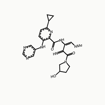 CN/C=C(/NC(=O)c1nc(C2CC2)ccc1Nc1cncnc1)C(=N)C(=O)N1CCC(O)C1